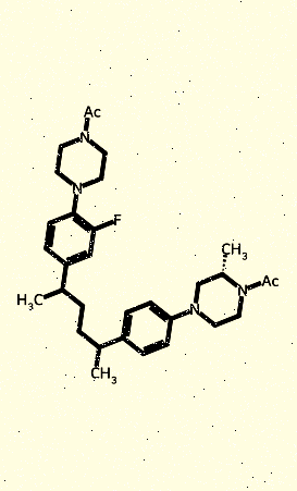 CC(=O)N1CCN(c2ccc(C(C)CCC(C)c3ccc(N4CCN(C(C)=O)[C@@H](C)C4)cc3)cc2F)CC1